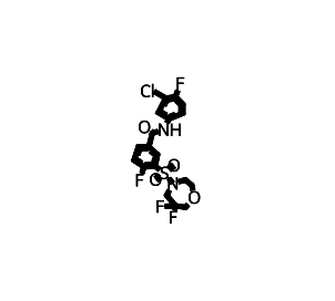 O=C(Nc1ccc(F)c(Cl)c1)c1ccc(F)c(S(=O)(=O)N2CCOCC(F)(F)C2)c1